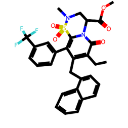 CCc1c(Cc2cccc3ccccc23)c(-c2cccc(C(F)(F)F)c2)c2n(c1=O)C(C(=O)OC)CN(C)S2(=O)=O